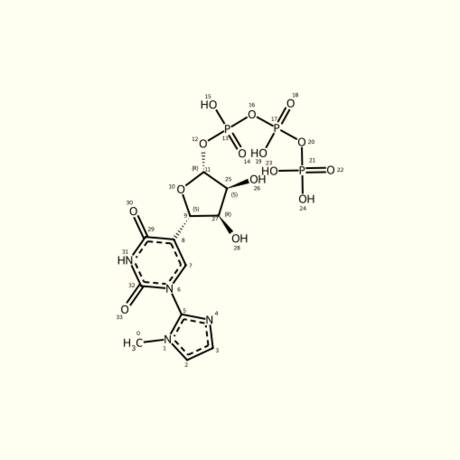 Cn1ccnc1-n1cc([C@@H]2O[C@H](OP(=O)(O)OP(=O)(O)OP(=O)(O)O)[C@@H](O)[C@H]2O)c(=O)[nH]c1=O